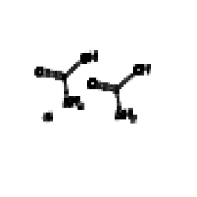 NC(=O)O.NC(=O)O.[S]